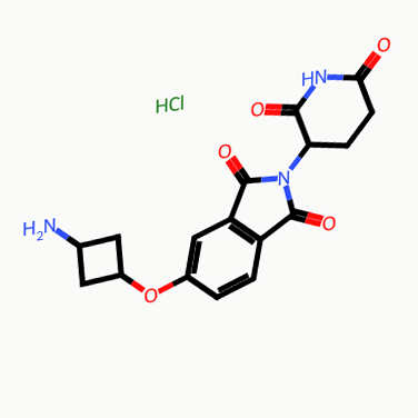 Cl.NC1CC(Oc2ccc3c(c2)C(=O)N(C2CCC(=O)NC2=O)C3=O)C1